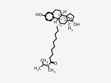 CC(C)N(C)C(=O)CCCCCCCCC[C@H]1C[C@]2(C)[C@@H](O)CC[C@H]2[C@@H]2CCc3cc(O)ccc3[C@@H]12